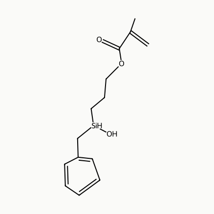 C=C(C)C(=O)OCCC[SiH](O)Cc1ccccc1